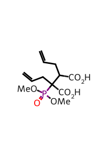 C=CCC(C(=O)O)C(CC=C)(C(=O)O)P(=O)(OC)OC